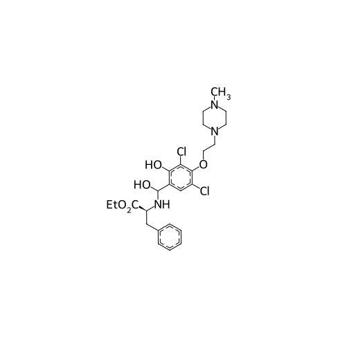 CCOC(=O)[C@H](Cc1ccccc1)NC(O)c1cc(Cl)c(OCCN2CCN(C)CC2)c(Cl)c1O